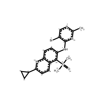 Cc1ncc(Br)c(Nc2ccc3nc(C4CC4)ccc3c2P(C)(C)=O)n1